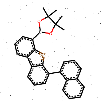 CC1(C)OB(c2cccc3c2sc2c(-c4cccc5ccccc45)cccc23)OC1(C)C